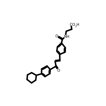 O=C(O)CCNC(=O)c1ccc(/C=C/C(=O)c2ccc(C3CCCCC3)cc2)cc1